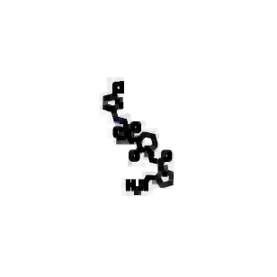 NC[C@@H]1CCCN1C(=O)CN1CCC[C@H](NS(=O)(=O)/C=C/c2ccc(Cl)s2)C1=O